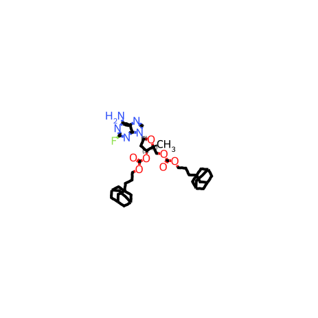 C[C@]1(COC(=O)OCCCC23CC4CC(CC(C4)C2)C3)O[C@@H](n2cnc3c(N)nc(F)nc32)C[C@@H]1OC(=O)OCCCC12CC3CC(CC(C3)C1)C2